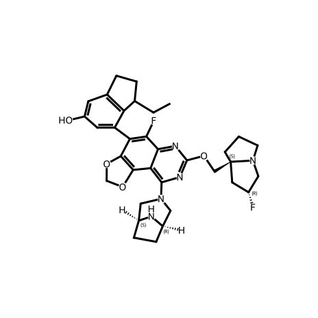 CCC1CCc2cc(O)cc(-c3c4c(c5c(N6C[C@H]7CC[C@@H](C6)N7)nc(OC[C@@]67CCCN6C[C@H](F)C7)nc5c3F)OCO4)c21